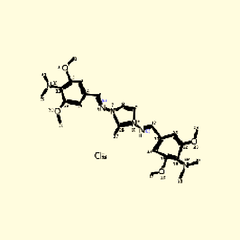 COc1cc(/C=N/n2cc[n+](/N=C/c3cc(OC)c(N(C)C)c(OC)c3)c2C)cc(OC)c1N(C)C.[Cl-]